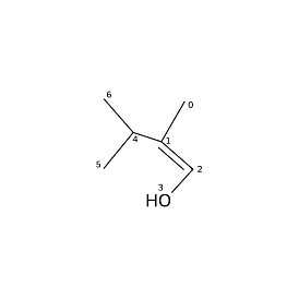 CC(=CO)C(C)C